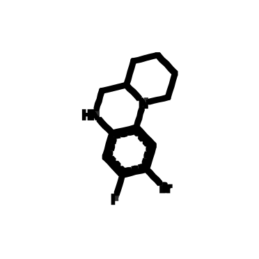 Fc1cc2c(cc1Br)N1CCCCC1CN2